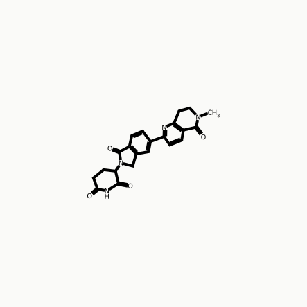 CN1CCc2nc(-c3ccc4c(c3)CN(C3CCC(=O)NC3=O)C4=O)ccc2C1=O